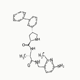 Cc1nc(N)ccc1CNC(=O)[C@H](C)NC(=O)[C@H]1C[C@H](c2cccc(-c3ccccc3)c2)CN1